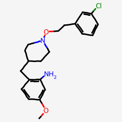 COc1ccc(CC2CCN(OCCc3cccc(Cl)c3)CC2)c(N)c1